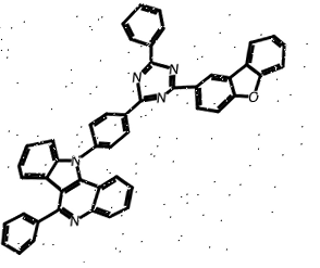 c1ccc(-c2nc(-c3ccc(-n4c5ccccc5c5c(-c6ccccc6)nc6ccccc6c54)cc3)nc(-c3ccc4oc5ccccc5c4c3)n2)cc1